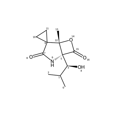 CC(C)[C@H](O)[C@@]12NC(=O)C3(CC3)[C@]1(C)OC2=O